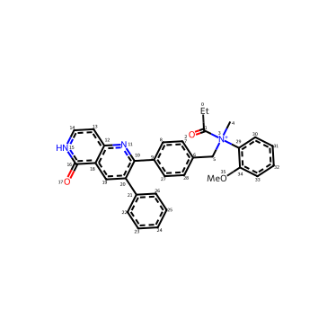 CCC(=O)[N+](C)(Cc1ccc(-c2nc3cc[nH]c(=O)c3cc2-c2ccccc2)cc1)c1ccccc1OC